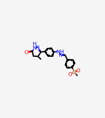 CC1CC(=O)NN=C1c1ccc(NN=Cc2ccc(S(C)(=O)=O)cc2)cc1